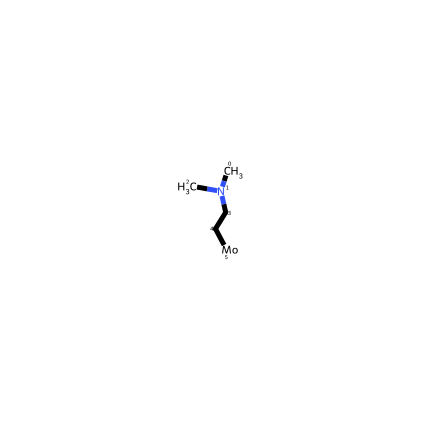 CN(C)C[CH2][Mo]